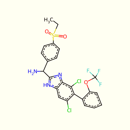 CCS(=O)(=O)c1ccc(C(N)c2nc3c(Cl)c(-c4ccccc4OC(F)(F)F)c(Cl)cc3[nH]2)cc1